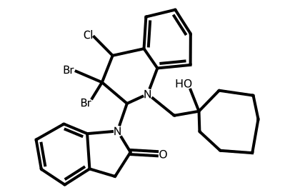 O=C1Cc2ccccc2N1C1N(CC2(O)CCCCCC2)c2ccccc2C(Cl)C1(Br)Br